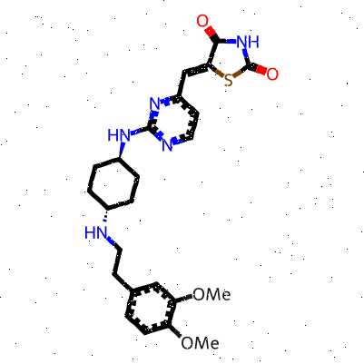 COc1ccc(CCN[C@H]2CC[C@H](Nc3nccc(/C=C4\SC(=O)NC4=O)n3)CC2)cc1OC